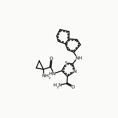 NC(=O)c1nc(Nc2ccc3ccccc3c2)sc1NC(=O)C1(N)CC1